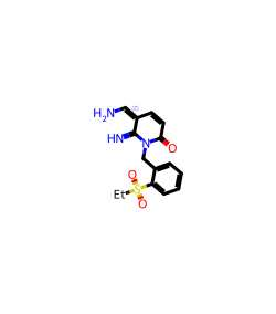 CCS(=O)(=O)c1ccccc1CN1C(=N)/C(=C\N)C=CC1=O